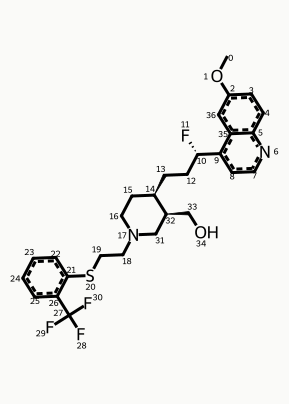 COc1ccc2nccc([C@@H](F)CC[C@@H]3CCN(CCSc4ccccc4C(F)(F)F)C[C@@H]3CO)c2c1